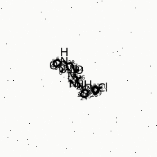 CO[C@H]1COCC[C@H]1NC1CCN(C(=O)c2ncnc(NC[C@H]3CCC[C@@H](c4ccc(Cl)cc4)O3)c2C)CC1